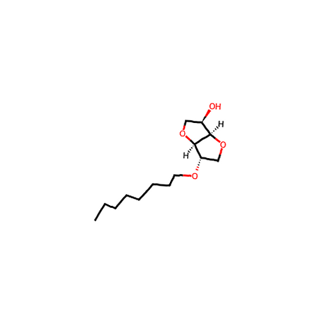 CCCCCCCCO[C@H]1CO[C@H]2[C@@H]1OC[C@H]2O